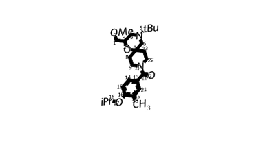 COCC1CN(C(C)(C)C)CC2(CCN(C(=O)c3ccc(OC(C)C)c(C)c3)CC2)O1